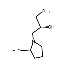 CC1CCCN1C[C@@H](O)CN